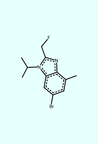 Cc1cc(Br)cc2c1nc(CF)n2C(C)C